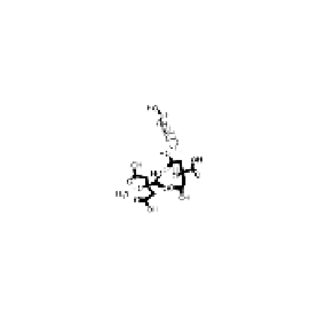 N.N.N.N.N.O=C(O)CC(O)(CC(=O)O)C(=O)O.O=C(O)CC(O)(CC(=O)O)C(=O)O.ONO